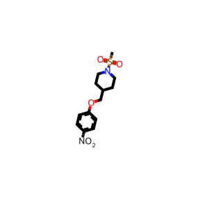 CS(=O)(=O)N1CCC(COc2ccc([N+](=O)[O-])cc2)CC1